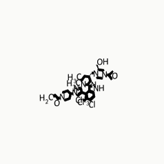 C=CC(=O)N1CCC(n2nc(N3CC[C@@H](CN4CCN(C5COC5)C[C@@H]4CO)CC3(C)C)c(-c3c(Cl)c(Cl)cc4[nH]ncc34)c2C)CC1